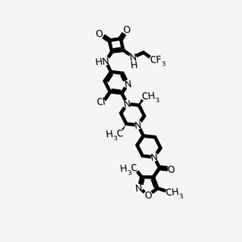 Cc1noc(C)c1C(=O)N1CCC(N2C[C@H](C)N(c3ncc(Nc4c(NCC(F)(F)F)c(=O)c4=O)cc3Cl)C[C@H]2C)CC1